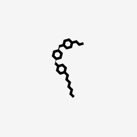 CCCCCCCC1CCC(C[C@H]2CC[C@H](CC3CCC(CCC)CC3)CC2)CC1